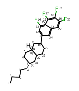 CCCCC[C@@H]1CC[C@@H]2CC(c3cc(F)c4c(F)c(F)c(F)cc4c3)CCC2C1